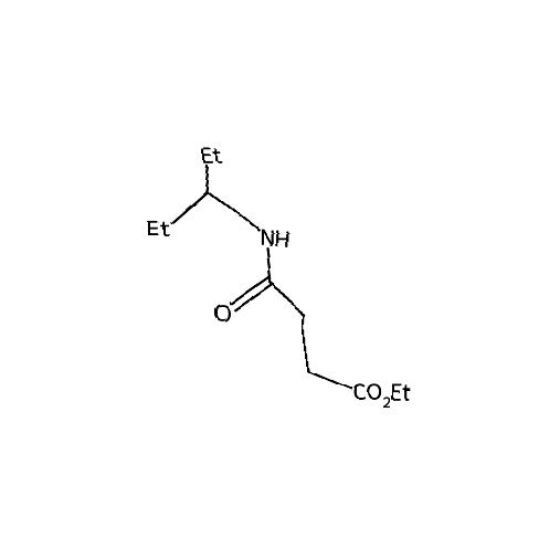 CCOC(=O)CCC(=O)NC(CC)CC